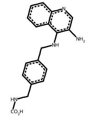 Nc1cnc2ccccc2c1NCc1ccc(CNC(=O)O)cc1